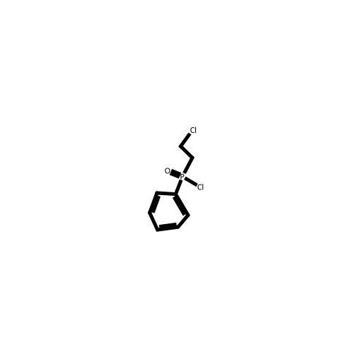 O=P(Cl)(CCCl)c1ccccc1